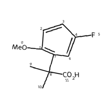 COc1ccc(F)cc1C(C)(C)C(=O)O